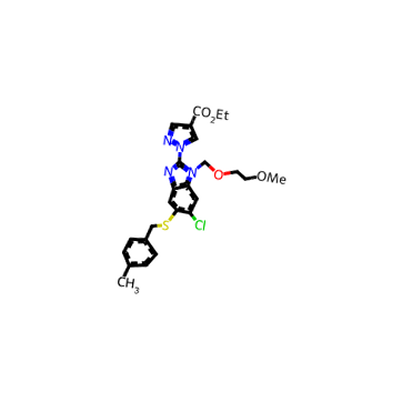 CCOC(=O)c1cnn(-c2nc3cc(SCc4ccc(C)cc4)c(Cl)cc3n2COCCOC)c1